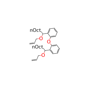 C=CCOC(CCCCCCCC)c1ccccc1Oc1ccccc1C(CCCCCCCC)OCC=C